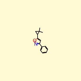 CC1(C)CC1c1cc(-c2ccccc2)no1